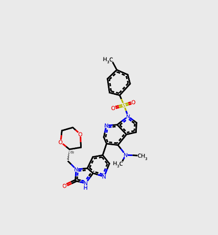 Cc1ccc(S(=O)(=O)n2ccc3c(N(C)C)c(-c4cnc5[nH]c(=O)n(C[C@H]6COCCO6)c5c4)cnc32)cc1